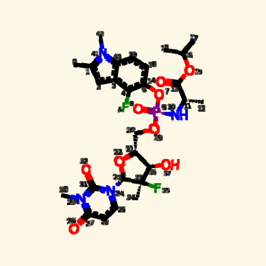 Cc1cc2c(F)c(O[P@](=O)(N[C@@H](C)C(=O)OC(C)C)OC[C@H]3O[C@@H](n4ccc(=O)n(C)c4=O)[C@](C)(F)[C@@H]3O)ccc2n1C